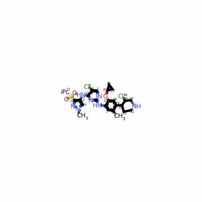 Cc1cc(Nc2ncc(Cl)c(Nc3cn(C)nc3S(=O)(=O)C(C)C)n2)c(OC2CC2)cc1C1CCNCC1Cl